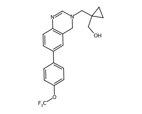 OCC1(CN2C=Nc3ccc(-c4ccc(OC(F)(F)F)cc4)cc3C2)CC1